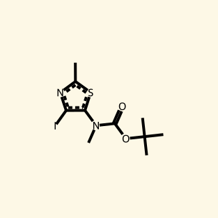 Cc1nc(I)c(N(C)C(=O)OC(C)(C)C)s1